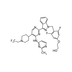 Cc1nccc(Nc2nc(-c3nn(Cc4c(F)cc(OCCO)cc4F)c4ccccc34)ncc2C2CCN(CC(F)(F)F)CC2)n1